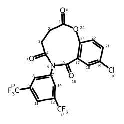 O=C1CCC(=O)N(c2cc(C(F)(F)F)cc(C(F)(F)F)c2)C(=O)c2cc(Cl)ccc2O1